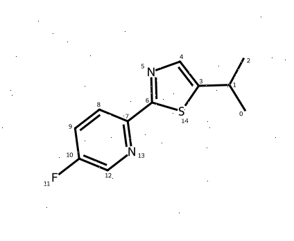 CC(C)c1cnc(-c2ccc(F)cn2)s1